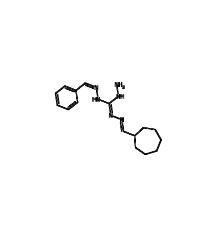 NN/C(=N\N=C\C1CCCCCC1)N/N=C\c1ccccc1